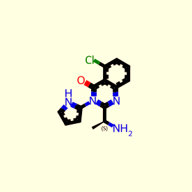 C[C@H](N)c1nc2cccc(Cl)c2c(=O)n1-c1ccc[nH]1